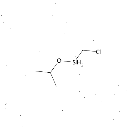 CC(C)O[SiH2]CCl